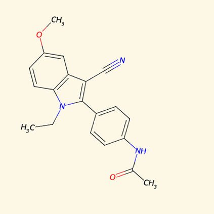 CCn1c(-c2ccc(NC(C)=O)cc2)c(C#N)c2cc(OC)ccc21